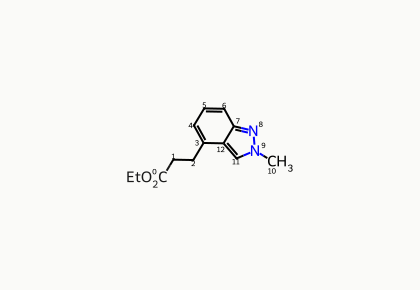 CCOC(=O)CCc1cccc2nn(C)cc12